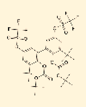 CC(C)(C)OC(=O)Oc1c(-c2cc(OS(=O)(=O)C(F)(F)F)cc(C(C)(C)C)c2OC(=O)OC(C)(C)C)cc(OS(=O)(=O)C(F)(F)F)cc1C(C)(C)C